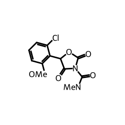 CNC(=O)N1C(=O)OC(c2c(Cl)cccc2OC)C1=O